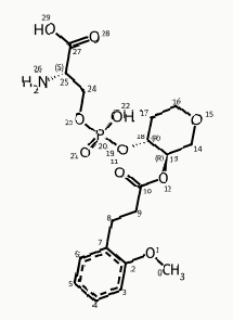 COc1ccccc1CCC(=O)O[C@@H]1COCC[C@H]1OP(=O)(O)OC[C@H](N)C(=O)O